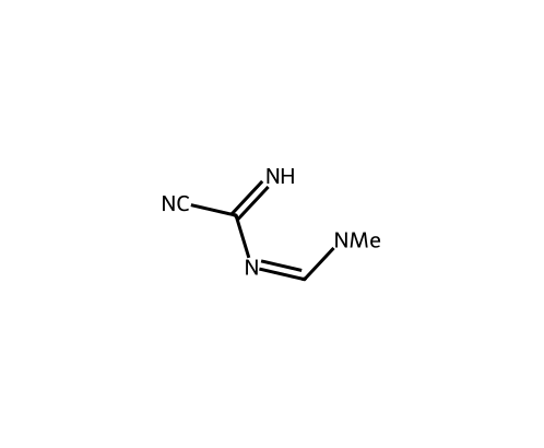 CN/C=N\C(=N)C#N